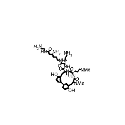 CNCCC[C@@H]1NC(=O)[C@@H](NC)Cc2cc(ccc2O)-c2ccc(O)c(c2)C[C@@H](C(=O)N[C@@H](CCCN)C(=O)NCCC[C@H](N)CC(=O)NCCN)NC1=O